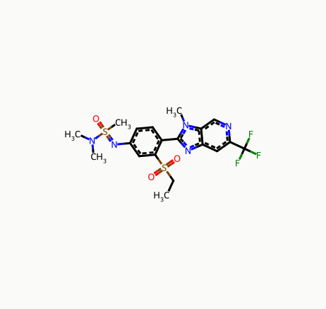 CCS(=O)(=O)c1cc(N=S(C)(=O)N(C)C)ccc1-c1nc2cc(C(F)(F)F)ncc2n1C